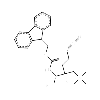 C[C@](CCN=[N+]=[N-])(C[N+](C)(C)C)[C@H](NC(=O)OCC1c2ccccc2-c2ccccc21)C(=O)O